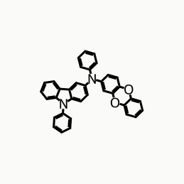 c1ccc(N(c2ccc3c(c2)Oc2ccccc2O3)c2ccc3c(c2)c2ccccc2n3-c2ccccc2)cc1